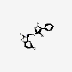 O=C1Nc2ccc(Cl)cc2/C1=C\Nc1n[nH]c(-c2ccccc2)c1Br